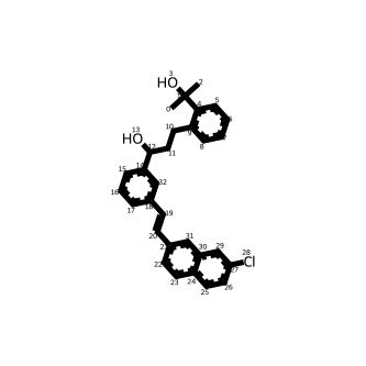 CC(C)(O)c1ccccc1CCC(O)c1cccc(C=Cc2ccc3ccc(Cl)cc3c2)c1